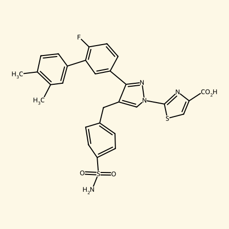 Cc1ccc(-c2cc(-c3nn(-c4nc(C(=O)O)cs4)cc3Cc3ccc(S(N)(=O)=O)cc3)ccc2F)cc1C